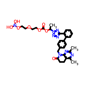 Cc1nc(C)c2c(n1)N(Cc1ccc(-c3ccccc3-c3nnn(C(C)OC(=O)OCCOCCON(O)O)n3)cc1)C(=O)CC2